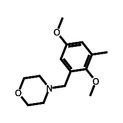 COc1cc(C)c(OC)c(CN2CCOCC2)c1